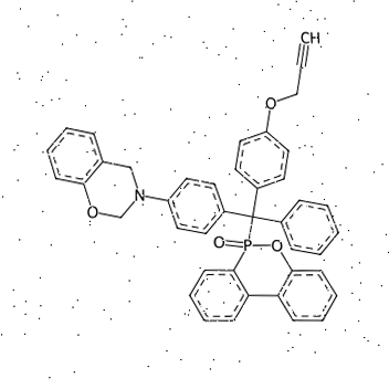 C#CCOc1ccc(C(c2ccccc2)(c2ccc(N3COc4ccccc4C3)cc2)P2(=O)Oc3ccccc3-c3ccccc32)cc1